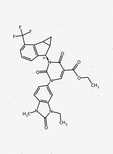 CCOC(=O)c1cn(-c2ccc3c(c2)n(CC)c(=O)n3C)c(=O)n([C@H]2c3cccc(C(F)(F)F)c3C3CC32)c1=O